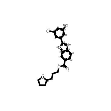 O=C(OCCCC1CCCO1)c1ccc2nc(-c3cc(Cl)cc(Cl)c3)oc2c1